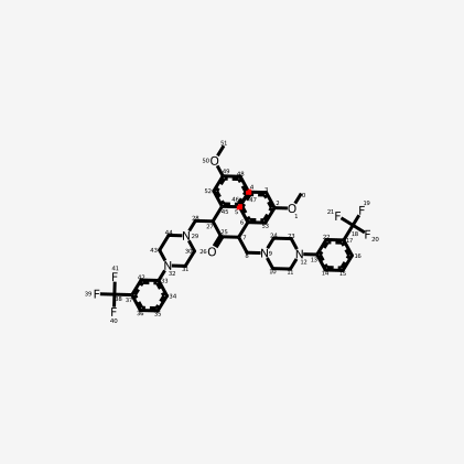 COc1cccc(C(CN2CCN(c3cccc(C(F)(F)F)c3)CC2)C(=O)C(CN2CCN(c3cccc(C(F)(F)F)c3)CC2)c2cccc(OC)c2)c1